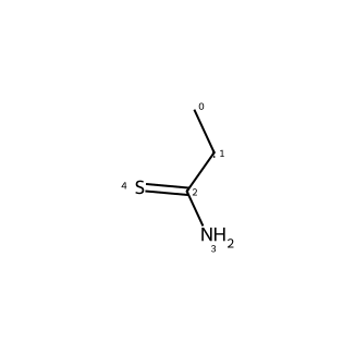 C[CH]C(N)=S